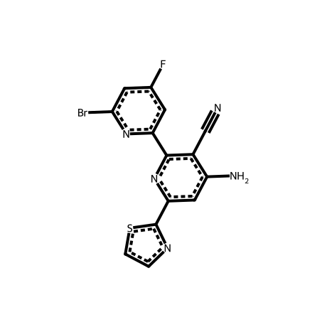 N#Cc1c(N)cc(-c2nccs2)nc1-c1cc(F)cc(Br)n1